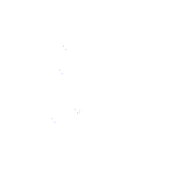 O=[N+]([O-])c1ccc(N2CCNCC2)cc1NCc1ccc(Cl)cc1